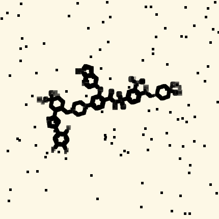 CC1(C)CCC(CN2CCN(c3ccc(C(=O)NS(=O)(=O)c4ccc(NC[C@H]5CC[C@](C)(O)CC5)c([N+](=O)[O-])c4)c(Oc4cnc5[nH]ccc5c4)c3)CC2)=C(c2cc(-c3cc(F)c(F)cc3F)cs2)C1